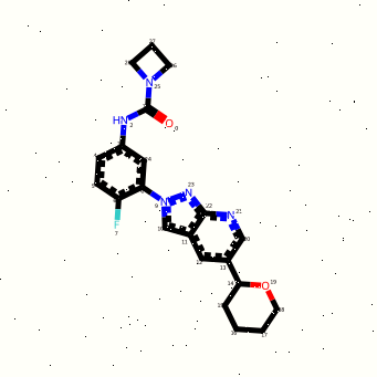 O=C(Nc1ccc(F)c(-n2cc3cc(C4CCCCO4)cnc3n2)c1)N1CCC1